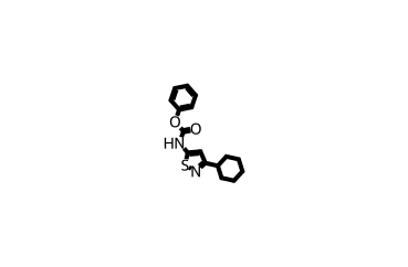 O=C(Nc1cc(C2CCCCC2)ns1)Oc1ccccc1